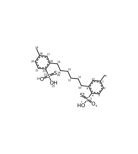 Cc1ccc(S(=O)(O)=S)c(CCCCCCc2cc(C)ccc2S(=O)(O)=S)c1